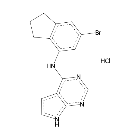 Brc1cc2c(c(Nc3ncnc4[nH]ccc34)c1)CCC2.Cl